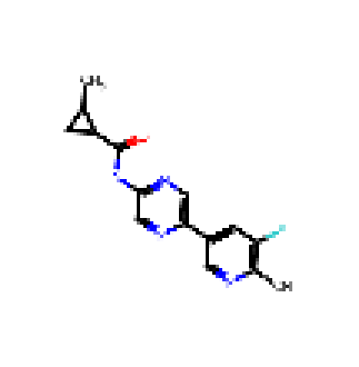 CC1CC1C(=O)Nc1cnc(-c2cnc(C#N)c(F)c2)cn1